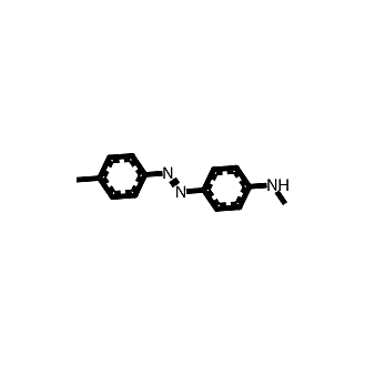 CNc1ccc(N=Nc2ccc(C)cc2)cc1